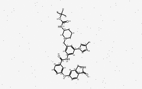 Cc1cn(-c2cc(CN3CCC[C@H](NC(=O)OC(C)(C)C)C3)cc(NC(=O)c3cccc(Oc4ccc5c(c4)CNC5=O)c3)c2)cn1